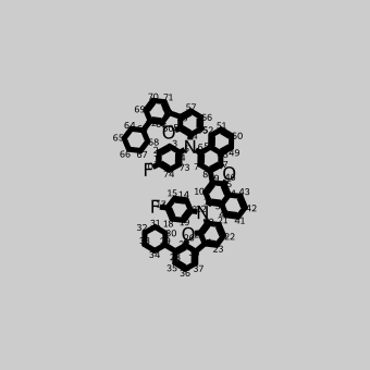 Fc1ccc(N(c2cc3c4cc(N(c5ccc(F)cc5)c5cccc6c5oc5c(C7CCCCC7)cccc56)c5ccccc5c4oc3c3ccccc23)c2cccc3c2oc2c(C4CCCCC4)cccc23)cc1